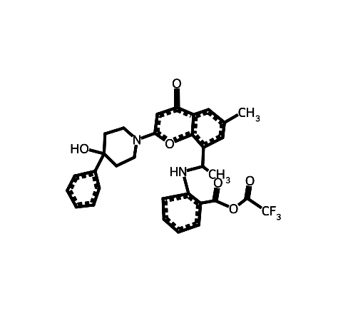 Cc1cc(C(C)Nc2ccccc2C(=O)OC(=O)C(F)(F)F)c2oc(N3CCC(O)(c4ccccc4)CC3)cc(=O)c2c1